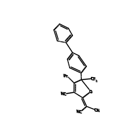 CC(C)C1=C(C#N)C(=C(C#N)C#N)OC1(c1ccc(-c2ccccc2)cc1)C(F)(F)F